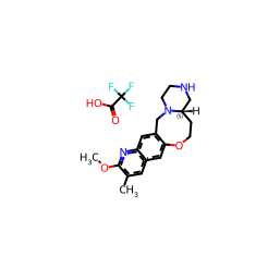 COc1nc2cc3c(cc2cc1C)OCC[C@H]1CNCCN1C3.O=C(O)C(F)(F)F